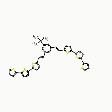 CC(C)(C)c1cc(/C=C/c2ccc(-c3ccc(-c4cccs4)s3)s2)cc(/C=C/c2ccc(-c3ccc(-c4cccs4)s3)s2)c1